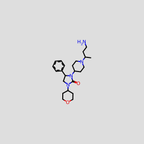 CC(CCN)N1CCC(N2C(=O)N(C3CCOCC3)CC2c2ccccc2)CC1